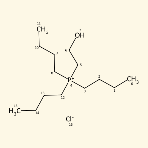 CCCC[P+](CCO)(CCCC)CCCC.[Cl-]